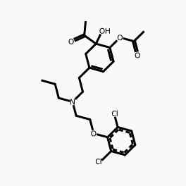 CCCN(CCOc1c(Cl)cccc1Cl)CCC1=CC=C(OC(C)=O)C(O)(C(C)=O)C1